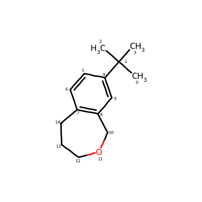 CC(C)(C)c1ccc2c(c1)COCCC2